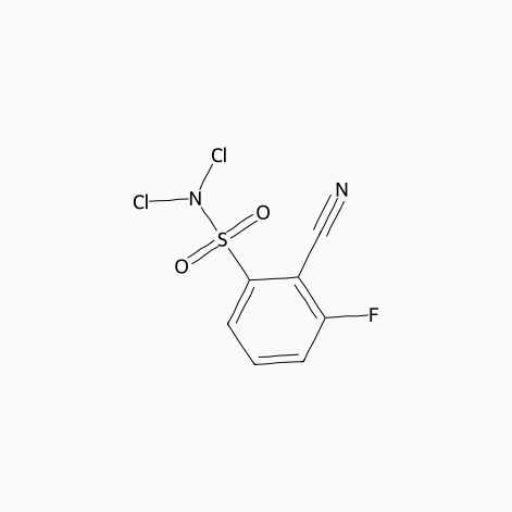 N#Cc1c(F)cccc1S(=O)(=O)N(Cl)Cl